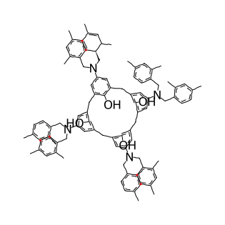 CC1=CC(C)[C@@H](CN(Cc2ccc(C)cc2C)c2cc3c(O)c(c2)Cc2cc(N(Cc4ccc(C)cc4C)Cc4ccc(C)cc4C)cc(c2O)Cc2cc(N(Cc4ccc(C)cc4C)Cc4ccc(C)cc4C)cc(c2O)Cc2cc(N(Cc4ccc(C)cc4C)Cc4ccc(C)cc4C)cc(c2O)C3)C=C1